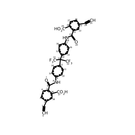 C#Cc1ccc(C(=O)Nc2ccc(C(c3ccc(NC(=O)c4cc(C#C)ccc4C(=O)O)cc3)(C(F)(F)F)C(F)(F)F)cc2)c(C(=O)O)c1